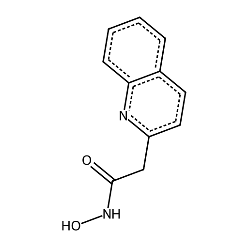 O=C(Cc1ccc2ccccc2n1)NO